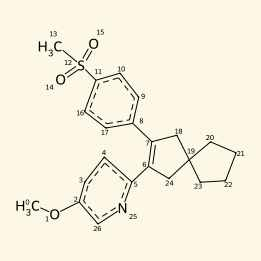 COc1ccc(C2=C(c3ccc(S(C)(=O)=O)cc3)CC3(CCCC3)C2)nc1